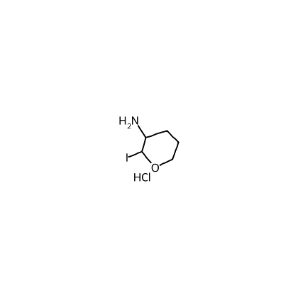 Cl.NC1CCCOC1I